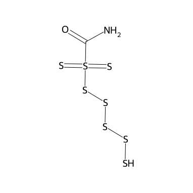 NC(=O)S(=S)(=S)SSSSS